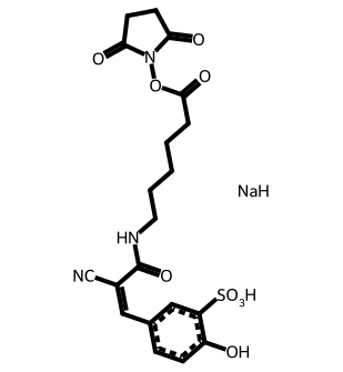 N#CC(=Cc1ccc(O)c(S(=O)(=O)O)c1)C(=O)NCCCCCC(=O)ON1C(=O)CCC1=O.[NaH]